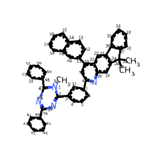 CN1C(c2cccc(-c3cc(-c4ccc5ccccc5c4)c4cc5c(cc4n3)C(C)(C)c3ccccc3-5)c2)=NC(c2ccccc2)=NC1c1ccccc1